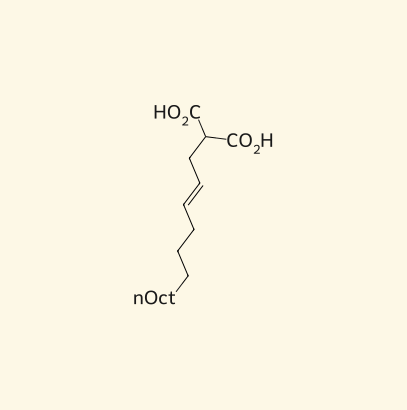 CCCCCCCCCCC/C=C/CC(C(=O)O)C(=O)O